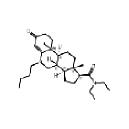 CCCCN1C[C@H]2[C@@H]3CC[C@H](C(=O)N(CC)CC)[C@@]3(C)CC[C@@H]2[C@@]2(C)CCC(=O)C=C12